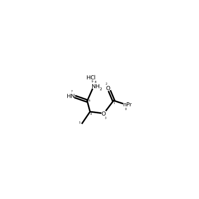 CCCC(=O)OC(C)C(=N)N.Cl